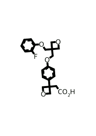 O=C(O)CC1(c2ccc(OCC3(COc4ccccc4F)COC3)cc2)COC1